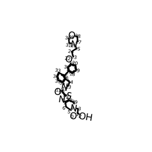 O=C(O)CN1CCc2nc(C(=O)N3CCc4c(-c5cccc(OCCCN6CCOCC6)c5)cccc43)sc2C1